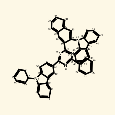 C1=CCC(n2c3ccccc3c3cc(-c4nc(-c5ccccc5)nc(-c5cc6ccccc6cc5-n5c6ccccc6c6ccccc65)n4)ccc32)C=C1